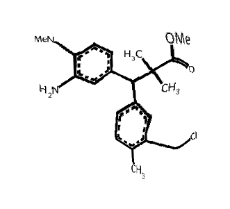 CNc1ccc(C(c2ccc(C)c(CCl)c2)C(C)(C)C(=O)OC)cc1N